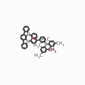 Cc1cc(C)c(B(c2cccc(-c3ccc(-n4c5ccccc5c5ccc6c7ccccc7n(-c7ccccc7)c6c54)cc3)c2)c2c(C)cc(C)cc2C)c(C)c1